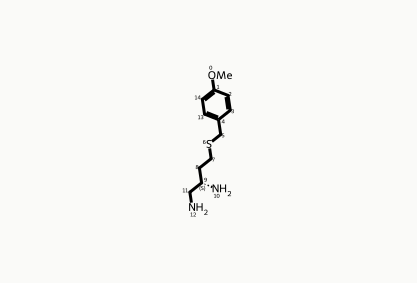 COc1ccc(CSCC[C@H](N)CN)cc1